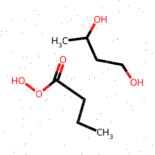 CC(O)CCO.CCCC(=O)OO